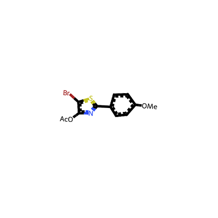 COc1ccc(-c2nc(OC(C)=O)c(Br)s2)cc1